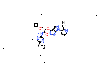 Cc1cnc(NC(=O)[C@H](COC2CCC2)Oc2ncnc3c2cnn3-c2cccnc2C)cn1